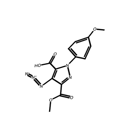 COC(=O)c1nn(-c2ccc(OC)cc2)c(C(=O)O)c1N=[N+]=[N-]